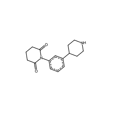 O=C1CCCC(=O)N1c1cccc(C2CCNCC2)c1